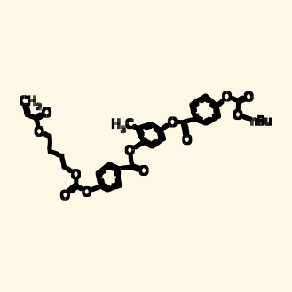 C=CC(=O)OCCCCOC(=O)Oc1ccc(C(=O)Oc2ccc(OC(=O)c3ccc(OC(=O)OCCCC)cc3)cc2C)cc1